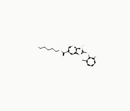 CCCCCCNC(=O)c1cnc2c(c1)nc(Nc1c(Cl)cccc1Cl)n2C